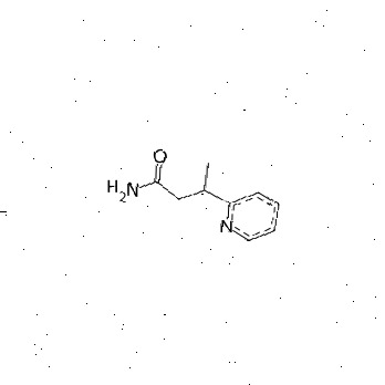 CC(CC(N)=O)c1ccccn1